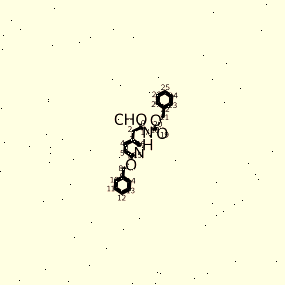 O=CC(Cc1ccc(OCc2ccccc2)nc1)NC(=O)OCc1ccccc1